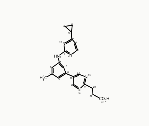 Cc1cc(Nc2nccc(C3CC3)n2)cc(-c2cnc(CCC(=O)O)nc2)c1